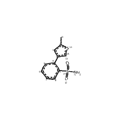 Cc1cc(-c2ccccc2S(N)(=O)=O)cs1